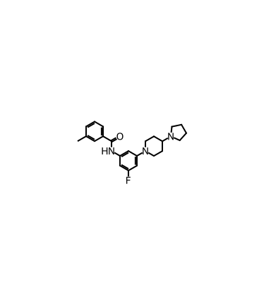 Cc1cccc(C(=O)Nc2cc(F)cc(N3CCC(N4CCCC4)CC3)c2)c1